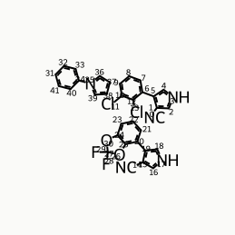 N#Cc1c[nH]cc1-c1cccc(Cl)c1Cl.N#Cc1c[nH]cc1-c1cccc2c1OC(F)(F)O2.c1ccc(-n2cccc2)cc1